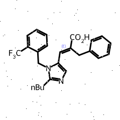 CCCCc1ncc(/C=C(\Cc2ccccc2)C(=O)O)n1Cc1ccccc1C(F)(F)F